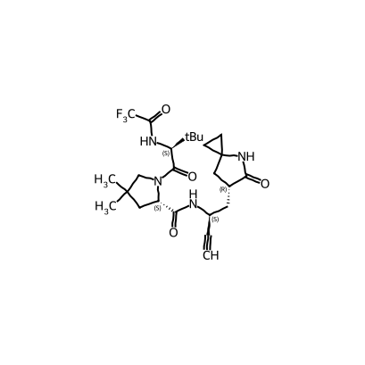 C#C[C@H](C[C@@H]1CC2(CC2)NC1=O)NC(=O)[C@@H]1CC(C)(C)CN1C(=O)[C@@H](NC(=O)C(F)(F)F)C(C)(C)C